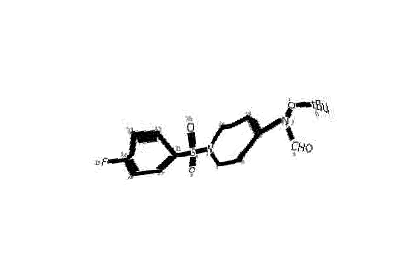 CC(C)(C)ON(C=O)C1CCN(S(=O)(=O)c2ccc(F)cc2)CC1